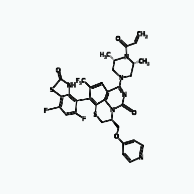 C=CC(=O)N1[C@H](C)CN(c2nc(=O)n3c4c(c(-c5c(F)cc(F)c6sc(=O)[nH]c56)c(C(F)(F)F)cc24)SC[C@@H]3COc2ccncc2)C[C@@H]1C